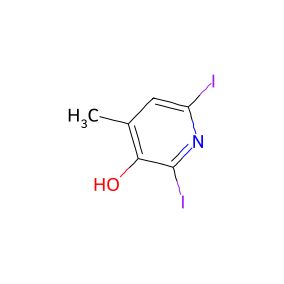 Cc1cc(I)nc(I)c1O